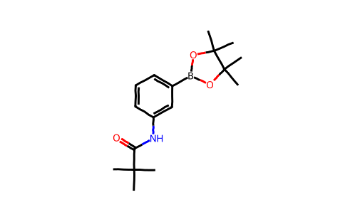 CC(C)(C)C(=O)Nc1cccc(B2OC(C)(C)C(C)(C)O2)c1